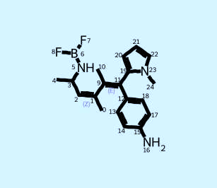 CC(=C/C(C)NB(F)F)/C(C)=C(\c1ccc(N)cc1)c1cccn1C